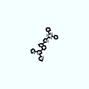 c1ccc(-c2nc(-c3ccccc3)nc(-c3ccc(-c4cccc5c(-c6cc(-c7ccccn7)nc(-c7ccccn7)c6)cccc45)cn3)n2)cc1